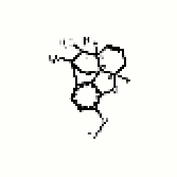 COc1ccc2c3c1O[C@H]1CC=C[C@H]4[C@H](C)C2(C)CC[C@]314